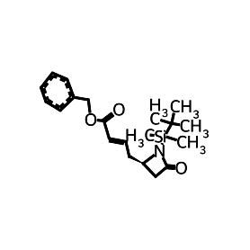 CC(C)(C)[Si](C)(C)N1C(=O)C[C@H]1C/C=C/C(=O)OCc1ccccc1